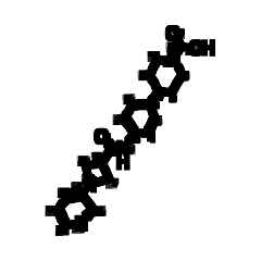 O=C(Nc1ccc(C2CCN(C(=O)O)CC2)cc1)C1CN(c2cccnc2)C1